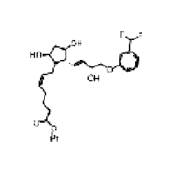 CC(C)OC(=O)CCC/C=C\C[C@@H]1[C@@H](/C=C/[C@@H](O)COc2cccc(C(F)F)c2)[C@H](O)C[C@@H]1O